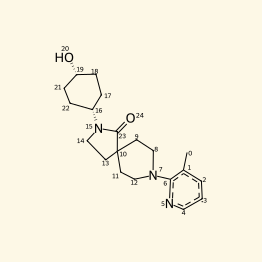 Cc1c[c]cnc1N1CCC2(CC1)CCN([C@H]1CC[C@@H](O)CC1)C2=O